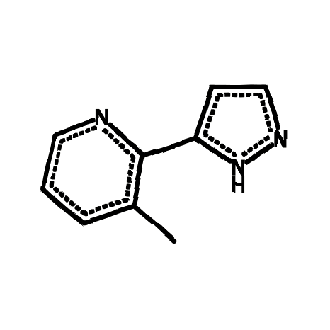 Cc1cccnc1-c1ccn[nH]1